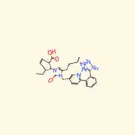 CCCCc1cn(C2C(CC)CCC2C(=O)O)c(=O)n1Cc1ccc(-c2ccccc2-c2nnn[nH]2)nc1